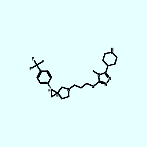 Cn1c(SCCCN2CC[C@]3(C[C@@H]3c3ccc(C(F)(F)F)cc3)C2)nnc1C1CCNCC1